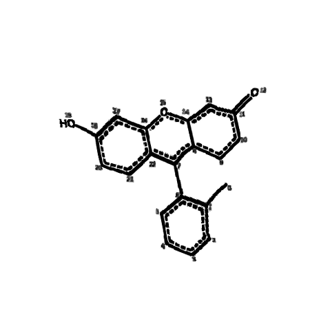 Cc1ccccc1-c1c2ccc(=O)cc-2oc2cc(O)ccc12